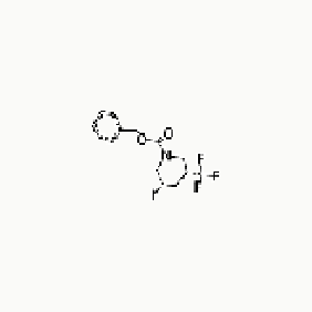 O=C(OCc1ccccc1)N1C[C@H](I)C[C@@H](C(F)(F)F)C1